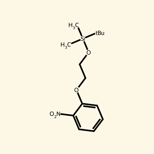 CC(C)(C)[Si](C)(C)OCCOc1ccccc1[N+](=O)[O-]